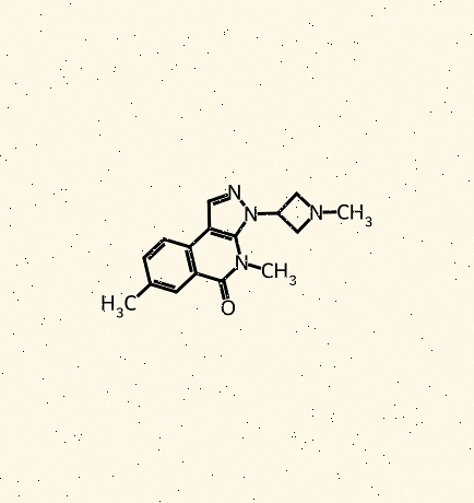 Cc1ccc2c(c1)c(=O)n(C)c1c2cnn1C1CN(C)C1